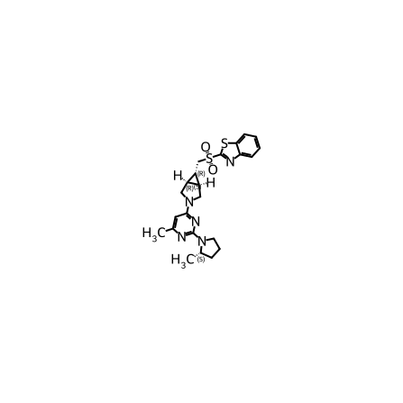 Cc1cc(N2C[C@@H]3[C@H](C2)[C@H]3CS(=O)(=O)c2nc3ccccc3s2)nc(N2CCC[C@@H]2C)n1